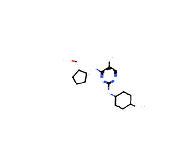 COC1CCC(Nc2ncc(C#N)c(N[C@@H]3CCC[C@@H]3CO)n2)CC1